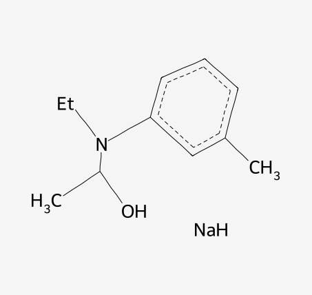 CCN(c1cccc(C)c1)C(C)O.[NaH]